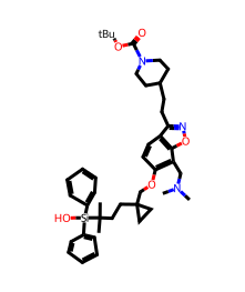 CN(C)Cc1c(OCC2(CCC(C)(C)[Si](O)(c3ccccc3)c3ccccc3)CC2)ccc2c(CCC3CCN(C(=O)OC(C)(C)C)CC3)noc12